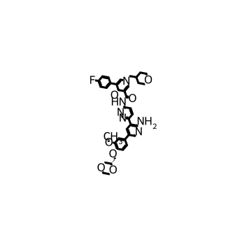 COc1cc(-c2cnc(N)c(-c3ccc(NC(=O)c4cn(CC5CCOCC5)cc(-c5ccc(F)cc5)c4=O)nn3)c2)ccc1OC[C@H]1COCCO1